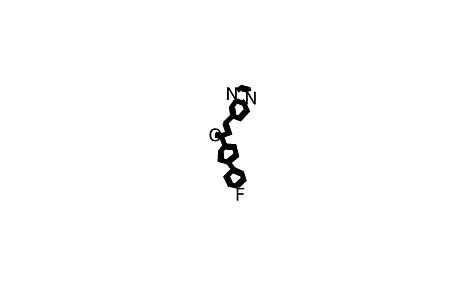 O=C(/C=C/c1ccc2nccnc2c1)c1ccc(-c2ccc(F)cc2)cc1